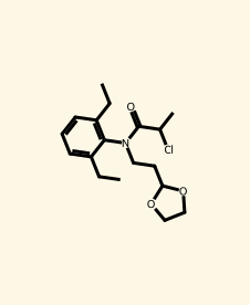 CCc1cccc(CC)c1N(CCC1OCCO1)C(=O)C(C)Cl